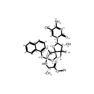 CC(C)OC(=O)[C@H](C)NP(=O)(OC[C@@]1(C(F)F)O[C@@H](n2cc(Cl)c(N)nc2=O)[C@H](O)C1(F)F)Oc1cccc2ccccc12